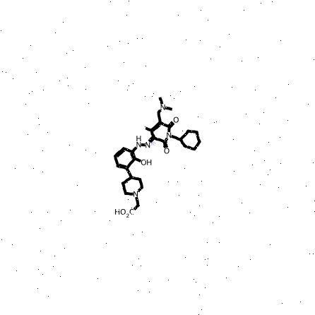 CC1=C(CN(C)C)C(=O)N(C2CCCCC2)C(=O)/C1=N/Nc1cccc(C2CCN(CC(=O)O)CC2)c1O